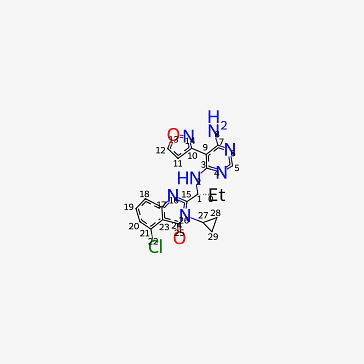 CC[C@@H](Nc1ncnc(N)c1-c1ccon1)c1nc2cccc(Cl)c2c(=O)n1C1CC1